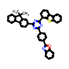 CC1(C)c2ccccc2-c2ccc(-c3nc(-c4ccc(-c5nc6ccccc6o5)cc4)nc(-c4cccc5c4sc4ccccc45)n3)cc21